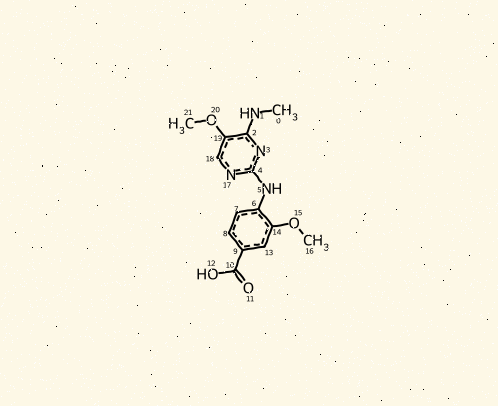 CNc1nc(Nc2ccc(C(=O)O)cc2OC)ncc1OC